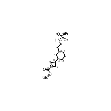 CC(C)S(=O)(=O)NCCN1CCCC(C2CN(C(=O)OC(C)(C)C)C2)C1